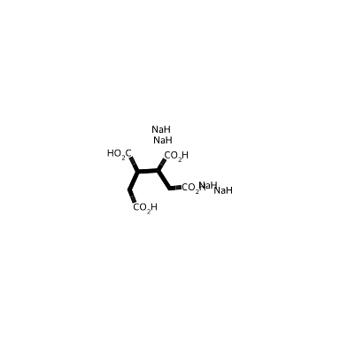 O=C(O)CC(C(=O)O)C(CC(=O)O)C(=O)O.[NaH].[NaH].[NaH].[NaH]